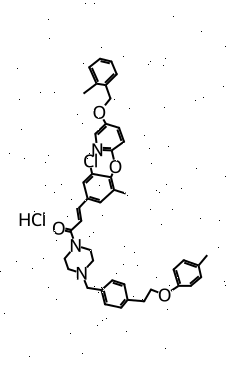 Cc1ccc(OCCc2ccc(CN3CCN(C(=O)C=Cc4cc(C)c(Oc5ccc(OCc6ccccc6C)cn5)c(Cl)c4)CC3)cc2)cc1.Cl